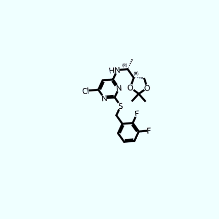 C[C@@H](Nc1cc(Cl)nc(SCc2cccc(F)c2F)n1)[C@@H]1COC(C)(C)O1